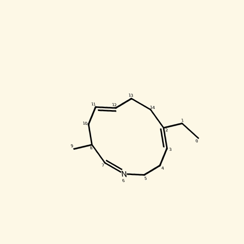 CC/C1=C/CC/N=C\C(C)C/C=C/CC1